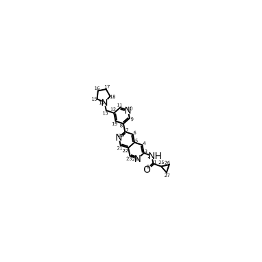 O=C(Nc1cc2cc(-c3cncc(CN4CCCC4)c3)ncc2cn1)C1CC1